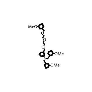 COc1cccc(COCCOCCOCc2cccc(N(Cc3cccc(OC)c3)Cc3cccc(OC)c3)c2)c1